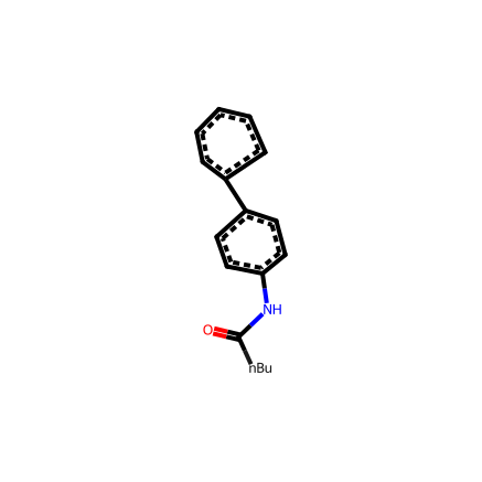 CCCCC(=O)Nc1ccc(-c2ccccc2)cc1